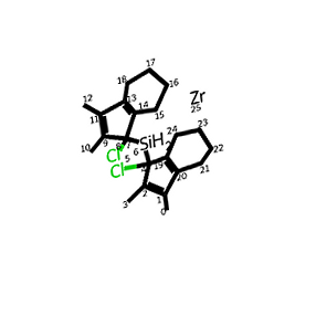 CC1=C(C)C(Cl)([SiH2]C2(Cl)C(C)=C(C)C3=C2CCCC3)C2=C1CCCC2.[Zr]